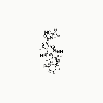 N#CC1(NC(=O)c2cc(C(=N)c3c(Nc4c(F)cccc4F)c(Cl)c[nH]c3=O)cs2)CC1